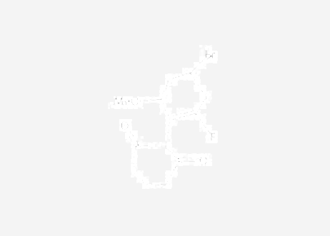 COC1=CC(Br)CC(F)=C1C1C(=O)CCCC1=O